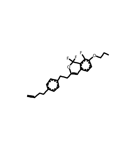 C=CCCc1ccc(CCC2=Cc3ccc(OCCC)c(F)c3C(F)(F)O2)cc1